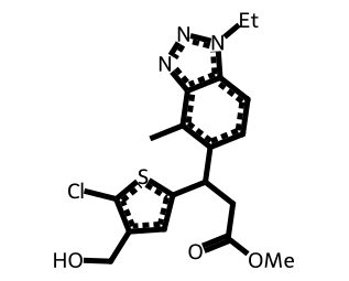 CCn1nnc2c(C)c(C(CC(=O)OC)c3cc(CO)c(Cl)s3)ccc21